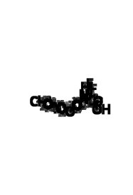 C[C@@H]1C(C(F)(F)F)=NN(c2ccc(OC3CCN(c4ccc(Cl)cc4)CC3)cc2)[C@H]1CC(=O)O